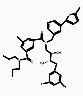 CCCN(CCC)C(=O)c1cc(C)cc(C(=O)N(Cc2cccc(-c3ccc(C)s3)c2)C[C@@H](O)[C@@H](N)Cc2cc(F)cc(F)c2)c1